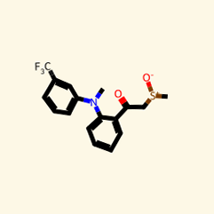 CN(c1cccc(C(F)(F)F)c1)c1ccccc1C(=O)C[S+](C)[O-]